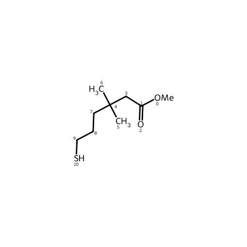 COC(=O)CC(C)(C)CCCS